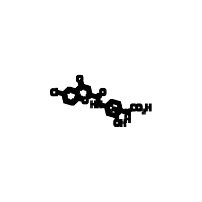 O=C(O)NC12CCC(NC(=O)c3cc(=O)c4cc(Cl)ccc4o3)(CC1)CC2O